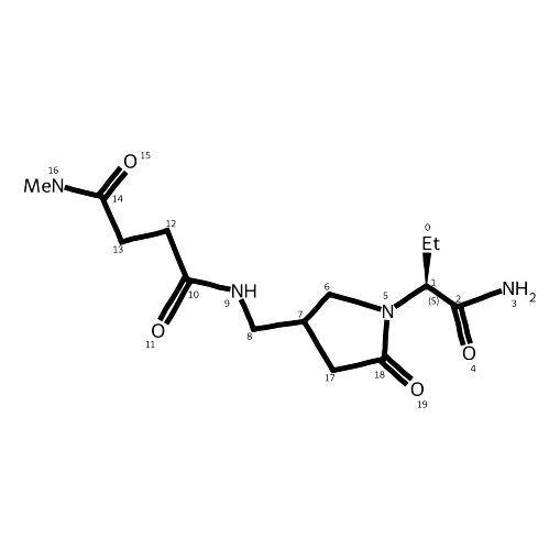 CC[C@@H](C(N)=O)N1CC(CNC(=O)CCC(=O)NC)CC1=O